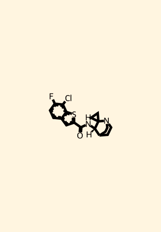 O=C(N[C@H]1C2CCN(CC2)C12CC2)c1cc2ccc(F)c(Cl)c2s1